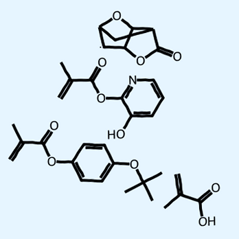 C=C(C)C(=O)O.C=C(C)C(=O)Oc1ccc(OC(C)(C)C)cc1.C=C(C)C(=O)Oc1ncccc1O.O=C1OC2[CH]C3CC1C2O3